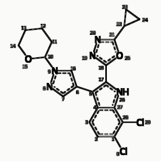 Clc1ccc2c(-c3cnn(C4CCCCO4)c3)c(-c3nnc(C4CC4)o3)[nH]c2c1Cl